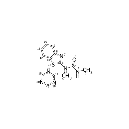 CNC(=O)N(C)c1nc2ccccc2s1.c1ncncn1